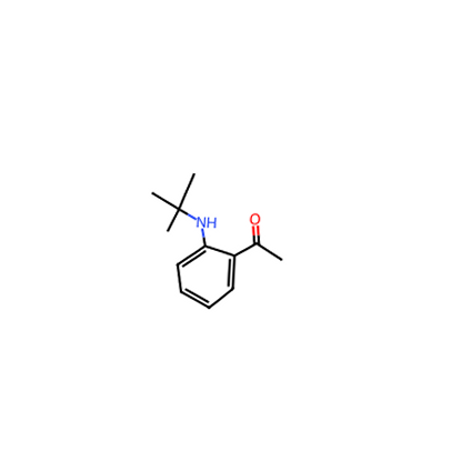 CC(=O)c1ccccc1NC(C)(C)C